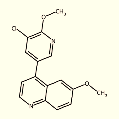 COc1ccc2nccc(-c3cnc(OC)c(Cl)c3)c2c1